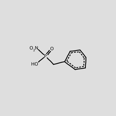 O=[N+]([O-])P(=O)(O)Cc1ccccc1